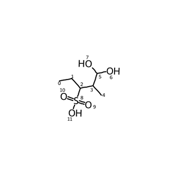 CCC(C(C)C(O)O)S(=O)(=O)O